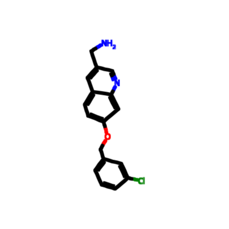 NCc1cnc2cc(OCc3cccc(Cl)c3)ccc2c1